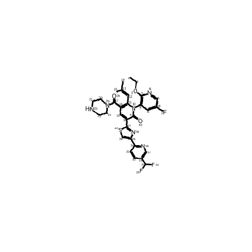 CCOc1ncc(F)cc1-n1c(C=C(C)C)c(C(=O)N2CCNCC2)cc(-c2nc(-c3ccc(C(F)F)cn3)cs2)c1=O